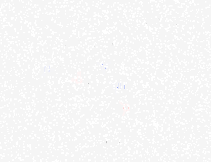 C1=C2c3ccccc3OC2NC(N(c2ccc3c(ccc4ccccc43)c2)c2cccc3c2oc2cccnc23)=C1